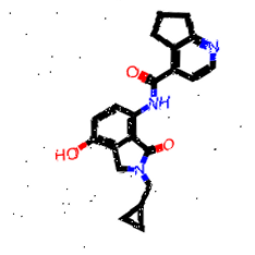 O=C(Nc1ccc(O)c2c1C(=O)N(CC1CC1)C2)c1ccnc2c1CCC2